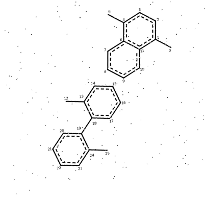 Cc1ccc(C)c2ccccc12.Cc1ccccc1-c1ccccc1C